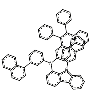 c1ccc(-c2c(-c3ccccc3)c3cc(N(c4cccc(-c5cccc6ccccc56)c4)c4cccc5c6ccccc6n(-c6ccc7ccccc7c6)c45)ccc3c3ccccc23)cc1